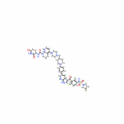 O=C1CCC(NC(=O)N2CCCc3c(N4CCN(CC5CCN(c6ccc(-c7cnc8[nH]cc(C(=O)c9c(F)ccc(NS(=O)(=O)N%10CC[C@@H](F)C%10)c9F)c8c7)cc6)CC5)CC4)ccnc32)C(=O)N1